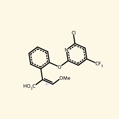 CO/C=C(/C(=O)O)c1ccccc1Oc1cc(C(F)(F)F)cc(Cl)n1